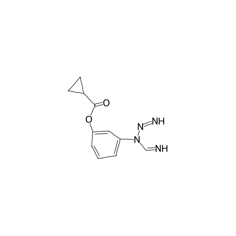 N=CN(N=N)c1cccc(OC(=O)C2CC2)c1